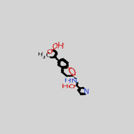 CC/C(=C\C(=O)O)c1ccc2c(c1)CC[C@@H](CNC[C@@H](O)c1cccnc1)O2